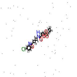 O=C(NC1CC2(C1)CC(c1nc3cc(Cl)ccc3o1)C2)c1ccc(S(=O)(=O)CC2CCC2)o1